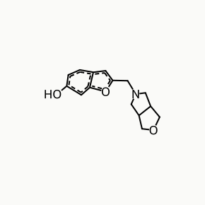 Oc1ccc2cc(CN3CC4COCC4C3)oc2c1